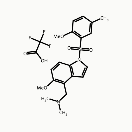 COc1ccc(C)cc1S(=O)(=O)n1ccc2c(CN(C)C)c(OC)ccc21.O=C(O)C(F)(F)F